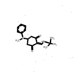 CN(c1ccccc1)C1CC(=O)C(=CNC(C)(C)C)C(=O)C1